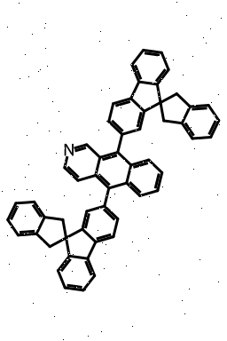 c1ccc2c(c1)CC1(C2)c2ccccc2-c2ccc(-c3c4ccccc4c(-c4ccc5c(c4)C4(Cc6ccccc6C4)c4ccccc4-5)c4cnccc34)cc21